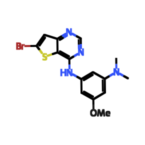 COc1cc(Nc2ncnc3cc(Br)sc23)cc(N(C)C)c1